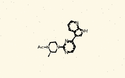 CC(=O)N1CCN(c2nccc(-c3c[nH]c4ncccc34)n2)C[C@H]1C